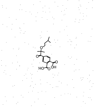 CC(C)CCOC(C)(C)C(=O)c1ccc(C(=O)O)c(C(=O)O)c1